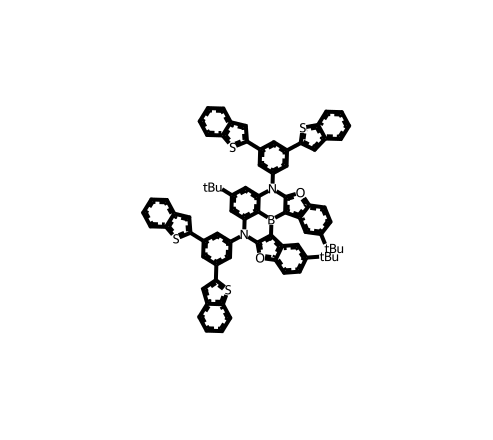 CC(C)(C)c1cc2c3c(c1)N(c1cc(-c4cc5ccccc5s4)cc(-c4cc5ccccc5s4)c1)c1oc4ccc(C(C)(C)C)cc4c1B3c1c(oc3ccc(C(C)(C)C)cc13)N2c1cc(-c2cc3ccccc3s2)cc(-c2cc3ccccc3s2)c1